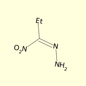 CCC(=NN)[N+](=O)[O-]